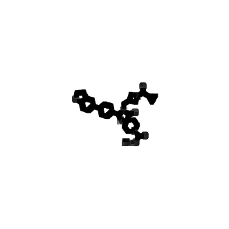 COC(=O)N1CCC2(CC1)N=C(c1ccc(-c3ccc4occc4c3)cc1)N(CC1CN(C(=O)C3CC3)C1)C2=O